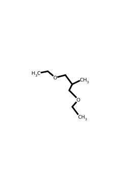 CCOC[C](C)COCC